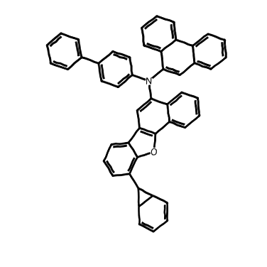 C1=CC2C(C=C1)C2c1cccc2c1oc1c3ccccc3c(N(c3ccc(-c4ccccc4)cc3)c3cc4ccccc4c4ccccc34)cc21